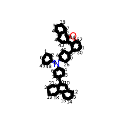 c1ccc(N(c2ccc(-c3cc4ccccc4c4ccccc34)cc2)c2ccc(-c3cccc4oc5c6ccccc6ccc5c34)cc2)cc1